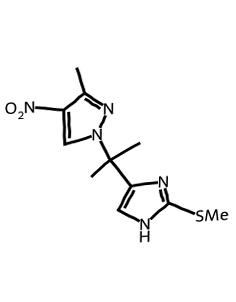 CSc1nc(C(C)(C)n2cc([N+](=O)[O-])c(C)n2)c[nH]1